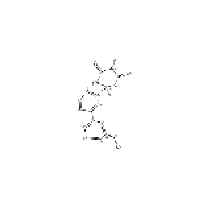 CN1C(=O)C[C@@](C)(c2cccc(-c3cccc(CC#N)c3)c2)NC1=O